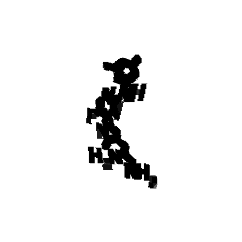 Cc1cc(C)cc(Nc2ncc(F)c(-n3cc(CC(N)CN)c(C)n3)n2)c1